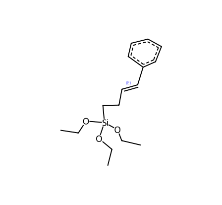 CCO[Si](CC/C=C/c1ccccc1)(OCC)OCC